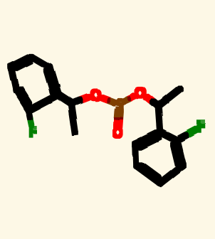 CC(OS(=O)OC(C)c1ccccc1F)c1ccccc1F